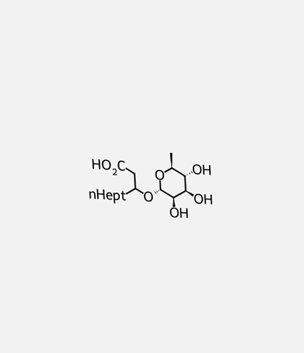 CCCCCCCC(CC(=O)O)O[C@@H]1O[C@@H](C)[C@H](O)[C@@H](O)[C@H]1O